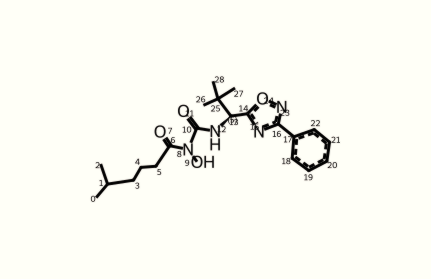 CC(C)CCCC(=O)N(O)C(=O)N[C@H](c1nc(-c2ccccc2)no1)C(C)(C)C